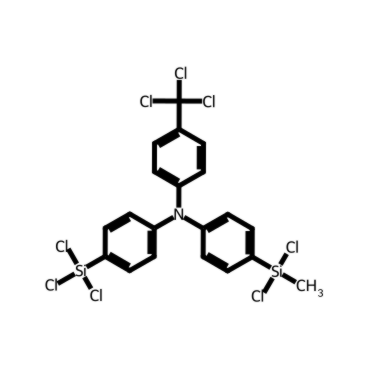 C[Si](Cl)(Cl)c1ccc(N(c2ccc(C(Cl)(Cl)Cl)cc2)c2ccc([Si](Cl)(Cl)Cl)cc2)cc1